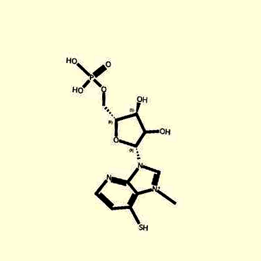 C[n+]1cn([C@@H]2O[C@H](COP(=O)(O)O)[C@@H](O)C2O)c2nccc(S)c21